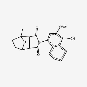 COc1cc(N2C(=O)C3C4CCC(C)(O4)C3C2=O)c2ccccc2c1C#N